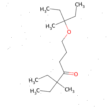 CCC(C)(CC)OCCCC(=O)C(C)(CC)CC